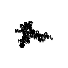 CC[C@H](C)[C@@H]([C@@H](CC(=O)N1CCC[C@H]1[C@H](OC)[C@@H](C)C(=O)N[C@H](C)[C@@H](O)c1ccccc1)OC)N(C)C(=O)[C@@H](NC(=O)[C@H](C(C)C)N(C)C(=O)OCc1ccc(NC(=O)C(CCCNC(N)=O)NC(=O)CC(C)C)cc1)C(C)C